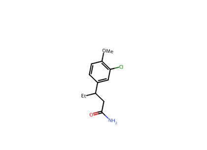 CCC(CC(N)=O)c1ccc(OC)c(Cl)c1